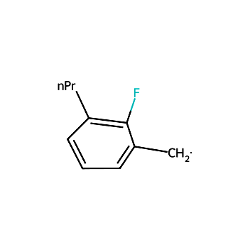 [CH2]c1cccc(CCC)c1F